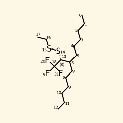 CCCCCCC(CCCCCC)[C@@H](SSCC)C(F)(F)F